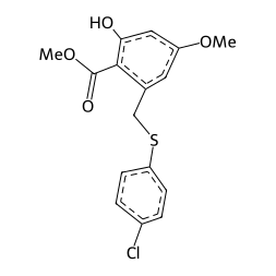 COC(=O)c1c(O)cc(OC)cc1CSc1ccc(Cl)cc1